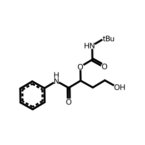 CC(C)(C)NC(=O)OC(CCO)C(=O)Nc1ccccc1